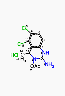 CC(=O)ON1C(N)Nc2ccc(Cl)c(Cl)c2C1C.Cl